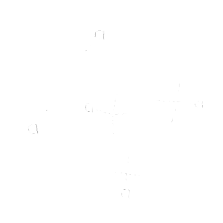 CC(C)(Cl)C#CC(C)(C)Cl.CC(C)(Cl)CCC(C)(Cl)CCC(C)(C)Cl